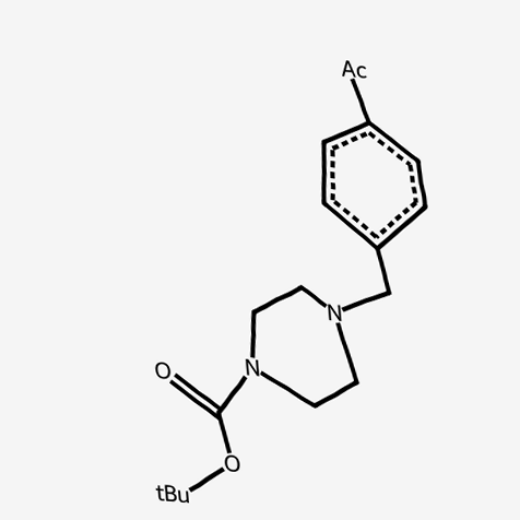 CC(=O)c1ccc(CN2CCN(C(=O)OC(C)(C)C)CC2)cc1